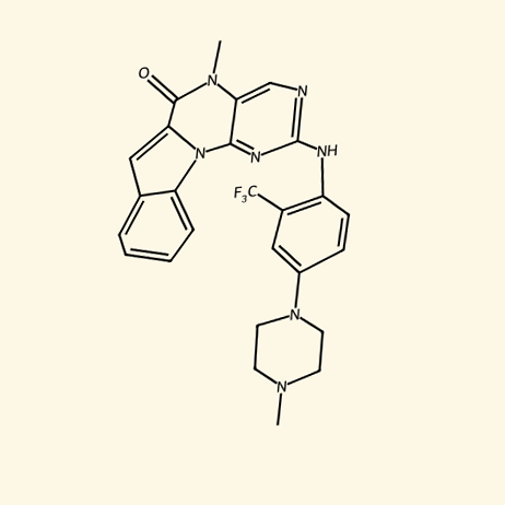 CN1CCN(c2ccc(Nc3ncc4c(n3)n3c(cc5ccccc53)c(=O)n4C)c(C(F)(F)F)c2)CC1